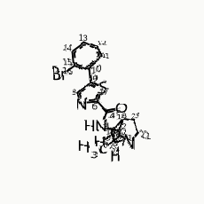 C[C@H]1[C@H](NC(=O)c2ncc(-c3ccccc3Br)s2)C2CCN1CC2